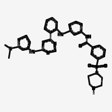 CN1CCN(S(=O)(=O)c2cccc(C(=O)Nc3cccc(Nc4ccccc4-c4cc(Nc5cccc(N(C)C)c5)ncn4)c3)c2)CC1